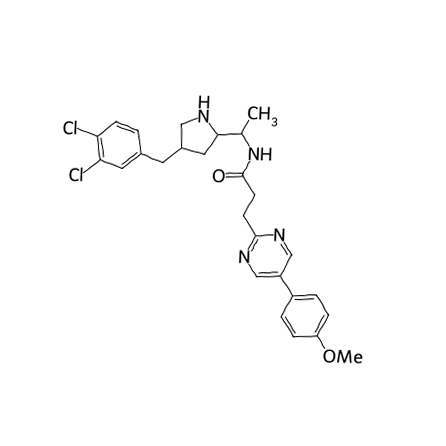 COc1ccc(-c2cnc(CCC(=O)NC(C)C3CC(Cc4ccc(Cl)c(Cl)c4)CN3)nc2)cc1